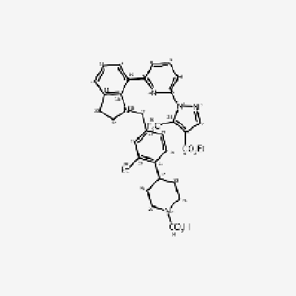 CCOC(=O)c1cnn(-c2cccc(-c3cccc4c3N(Cc3ccc(C5CCN(C(=O)O)CC5)c(CC)c3)CC4)n2)c1C(F)(F)F